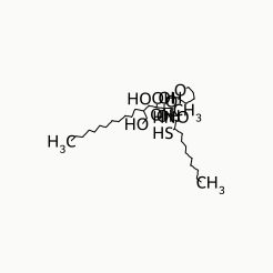 CCCCCCCCCCCCC(CO)[C@@H](O)C(O)(O)C(O)(O)[C@@](C)(NC(=O)C(S)CCCCCCCCC)O[C@H]1CCCCO1